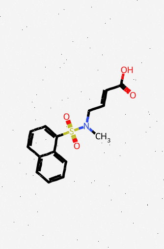 CN(CC=CC(=O)O)S(=O)(=O)c1cccc2ccccc12